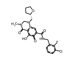 CN1CN(C[C@@H]2CCCO2)n2cc(C(=O)NCc3cccc(Cl)c3F)c(=O)c(O)c2C1=O